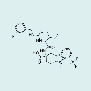 CCC(C)C(NC(=O)NCc1cccc(F)c1)C(=O)NC1(C(=O)O)CCc2[nH]c3c(C(F)(F)F)cccc3c2C1